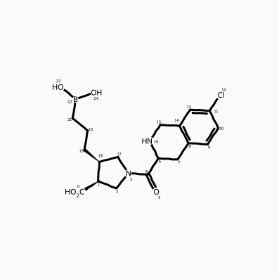 O=C(O)[C@@H]1CN(C(=O)C2Cc3ccc(Cl)cc3CN2)C[C@@H]1CCCB(O)O